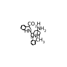 Cc1ccccc1[C@@H]1CC(NCC(C(=O)O)c2ccccc2)C(CC(N)=O)N1